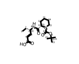 CC[C@@H](C=CC(=O)O)NC(=O)[C@@H]1CCCCN1C(=O)OC(C)(C)C